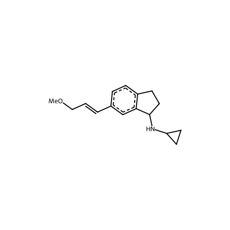 COCC=Cc1ccc2c(c1)C(NC1CC1)CC2